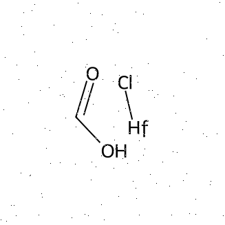 O=CO.[Cl][Hf]